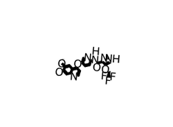 COc1cc2nccc(Oc3ccc(NC(=O)c4n[nH]cc4OCC(F)(F)F)nc3)c2cc1OC